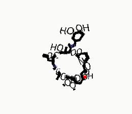 C=CCC1/C=C(/C)CC(C)C[C@H](OC)[C@H]2OC(O)(C(=O)C(=O)N3CCCCC3C(=O)OC(/C(C)=C/C3CC[C@H](O)C(O)C3)C(C)C(O)CC1=O)C(C)CC2OC